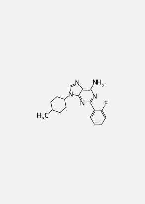 CC1CCC(n2cnc3c(N)nc(-c4ccccc4F)nc32)CC1